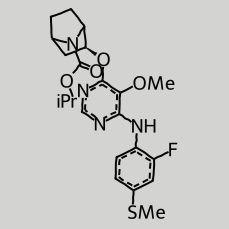 COc1c(Nc2ccc(SC)cc2F)ncnc1O[C@H]1CC2CCC1N2C(=O)OC(C)C